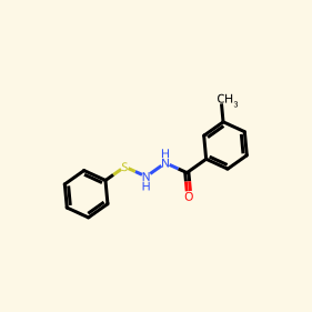 Cc1cccc(C(=O)NNSc2ccccc2)c1